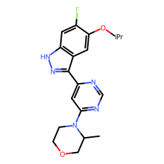 CC(C)Oc1cc2c(-c3cc(N4CCOCC4C)ncn3)n[nH]c2cc1F